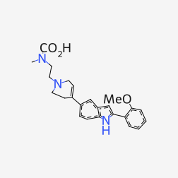 COc1ccccc1-c1cc2cc(C3=CCN(CCN(C)C(=O)O)CC3)ccc2[nH]1